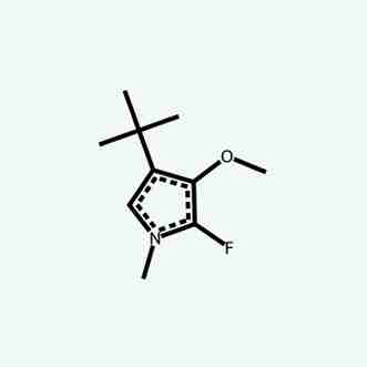 COc1c(C(C)(C)C)cn(C)c1F